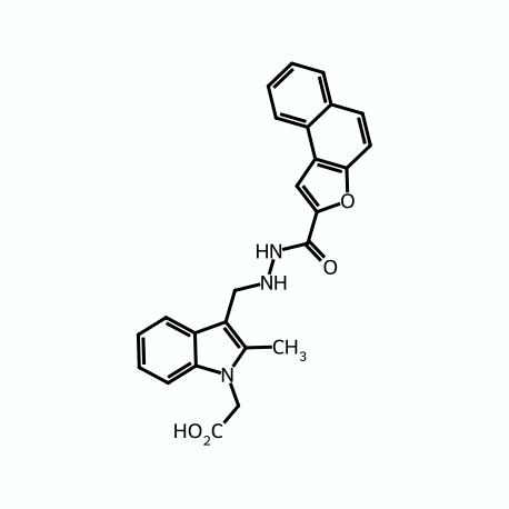 Cc1c(CNNC(=O)c2cc3c(ccc4ccccc43)o2)c2ccccc2n1CC(=O)O